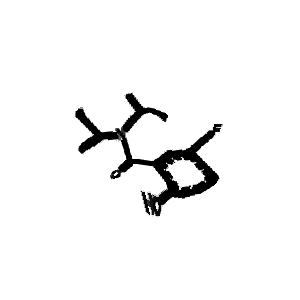 CC(C)N(C(=O)c1cc(F)ccc1O)C(C)C